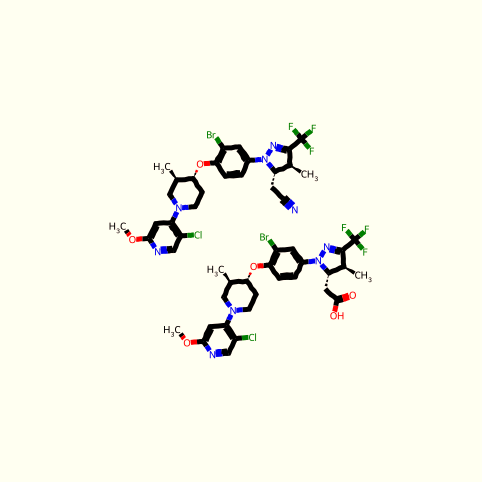 COc1cc(N2CC[C@@H](Oc3ccc(N4N=C(C(F)(F)F)[C@@H](C)[C@@H]4CC#N)cc3Br)[C@H](C)C2)c(Cl)cn1.COc1cc(N2CC[C@@H](Oc3ccc(N4N=C(C(F)(F)F)[C@@H](C)[C@@H]4CC(=O)O)cc3Br)[C@H](C)C2)c(Cl)cn1